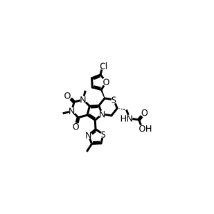 Cc1csc(-c2c3c(=O)n(C)c(=O)n(C)c3c3n2C[C@@H](CNC(=O)O)S[C@@H]3c2ccc(Cl)o2)n1